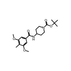 COc1cc(C(=O)NC2CCN(C(=O)OC(C)(C)C)CC2)cc(OC)c1C